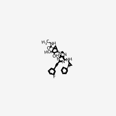 CNC(=O)[C@]12CC1[C@@H](n1cnc3c(NC4C[C@H]4c4ccccc4)nc(C#Cc4cccc(F)c4)nc31)C(O)[C@@H]2O